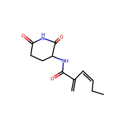 C=C(/C=C\CC)C(=O)NC1CCC(=O)NC1=O